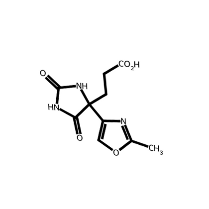 Cc1nc(C2(CCC(=O)O)NC(=O)NC2=O)co1